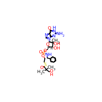 CC(C)(CO)C(=O)SCCOP(=O)(NCc1ccccc1)OC[C@H]1O[C@@H](n2cnc3c(=O)[nH]c(N)nc32)[C@](C)(O)[C@@H]1O